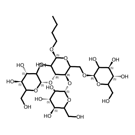 CCCCO[C@H]1OC(CO[C@@H]2OC(CO)[C@@H](O)[C@H](O)C2O)[C@@H](O[C@@H]2OC(CO)[C@@H](O)[C@H](O)C2O)[C@H](O[C@@H]2OC(CO)[C@@H](O)[C@H](O)C2O)C1O